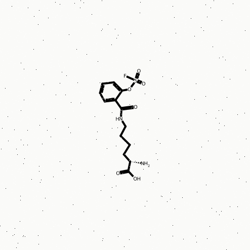 N[C@@H](CCCCNC(=O)c1ccccc1OS(=O)(=O)F)C(=O)O